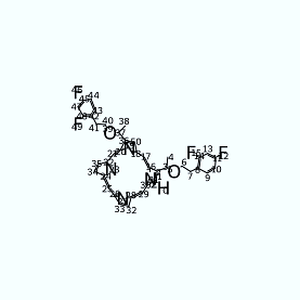 [2H]C1=C(C(C)OCCc2ccc(F)cc2F)C2=CC3=NC(=CC4=NC(=CC5=NC(=CC1=N2)C=C5)C=C4)C(C(C)OCCc1ccc(F)cc1F)=C3